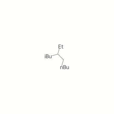 [CH2]CC(CCCCC)C(C)CC